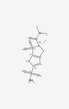 CN(C)C(=O)[C@@]1(C)Cc2cc(S(N)(=O)=O)sc2S1(=O)=O